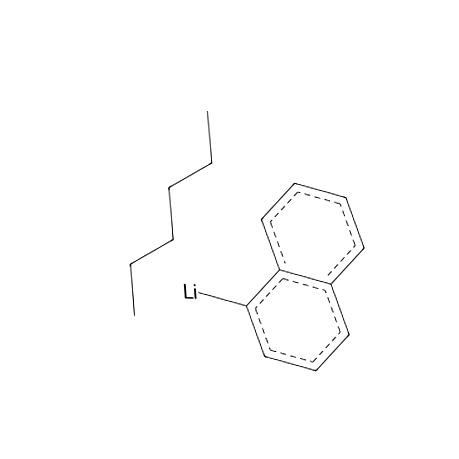 CCCCCC.[Li][c]1cccc2ccccc12